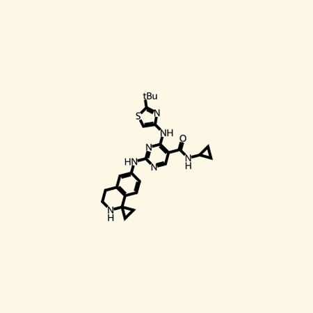 CC(C)(C)c1nc(Nc2nc(Nc3ccc4c(c3)CCNC43CC3)ncc2C(=O)NC2CC2)cs1